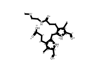 COCCNC(=O)CCc1c(Cc2[nH]c(C=O)c(C)c2CCC(=O)O)[nH]c(C=O)c1C